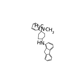 CN(C)C1(c2ccccc2)CCC(Nc2cccc3c2Cc2ccccc2-3)CC1